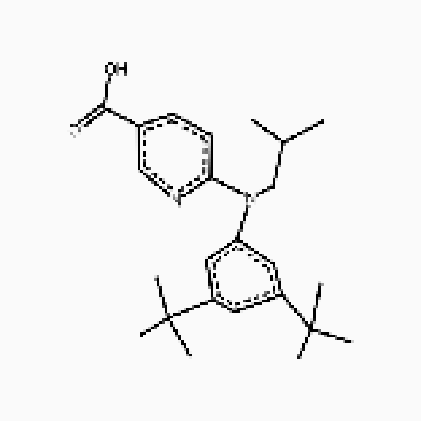 CC(C)CN(c1cc(C(C)(C)C)cc(C(C)(C)C)c1)c1ccc(C(=O)O)cn1